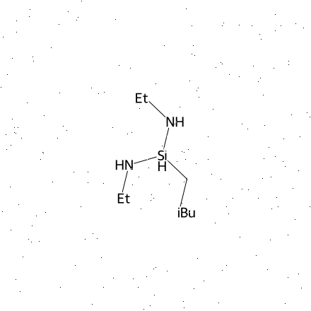 CCN[SiH](CC(C)CC)NCC